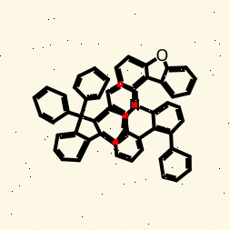 c1ccc(-c2ccccc2-c2c(-c3ccccc3)cccc2N(c2ccc3c(c2)C(c2ccccc2)(c2ccccc2)c2ccccc2-3)c2cccc3oc4ccccc4c23)cc1